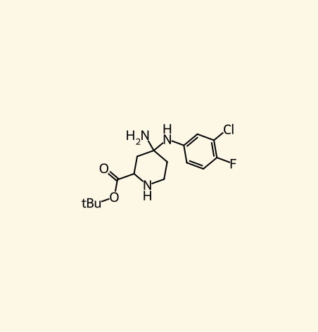 CC(C)(C)OC(=O)C1CC(N)(Nc2ccc(F)c(Cl)c2)CCN1